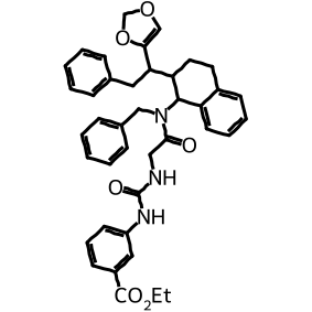 CCOC(=O)c1cccc(NC(=O)NCC(=O)N(Cc2ccccc2)C2c3ccccc3CCC2C(Cc2ccccc2)C2=COCO2)c1